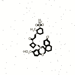 C[C@H]1[C@H](/C=C/C(=O)[C@@H]2CC[C@H]2CN2CC3(CCCc4cc(Cl)ccc43)COc3ccc(C(=O)O)cc32)CCC[C@H]1S(N)(=O)=O